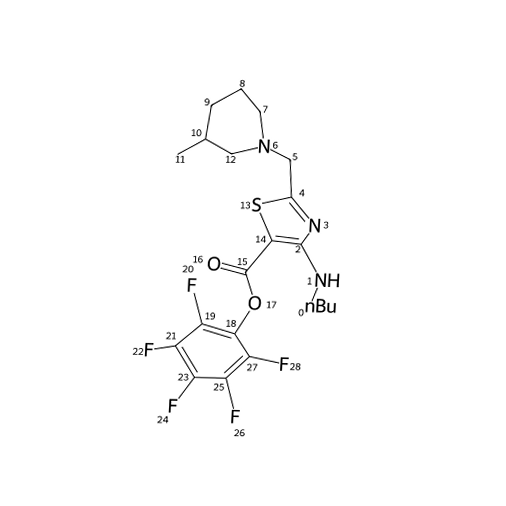 CCCCNc1nc(CN2CCCC(C)C2)sc1C(=O)Oc1c(F)c(F)c(F)c(F)c1F